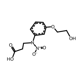 O=C(O)CCN(c1cccc(OCCO)c1)[N+](=O)[O-]